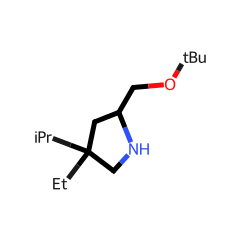 CCC1(C(C)C)CNC(COC(C)(C)C)C1